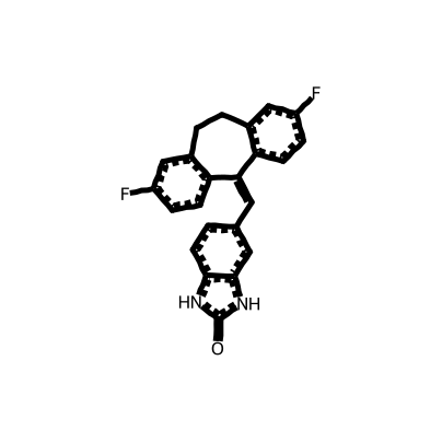 O=c1[nH]c2ccc(C=C3c4ccc(F)cc4CCc4cc(F)ccc43)cc2[nH]1